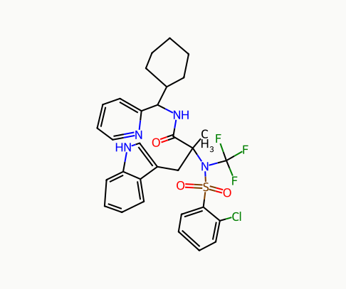 CC(Cc1c[nH]c2ccccc12)(C(=O)NC(c1ccccn1)C1CCCCC1)N(C(F)(F)F)S(=O)(=O)c1ccccc1Cl